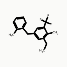 CCc1cc(Cc2ccccc2C)cc(C(F)(F)F)c1C